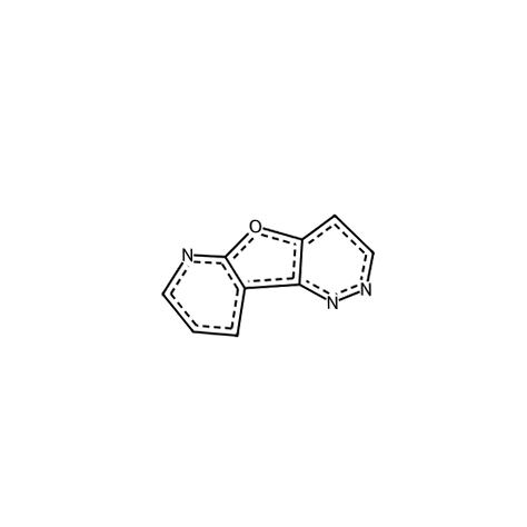 c1cnc2oc3ccnnc3c2c1